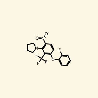 O=[N+]([O-])c1ccc(Oc2ccccc2F)c(C(F)(F)F)c1N1CCCC1